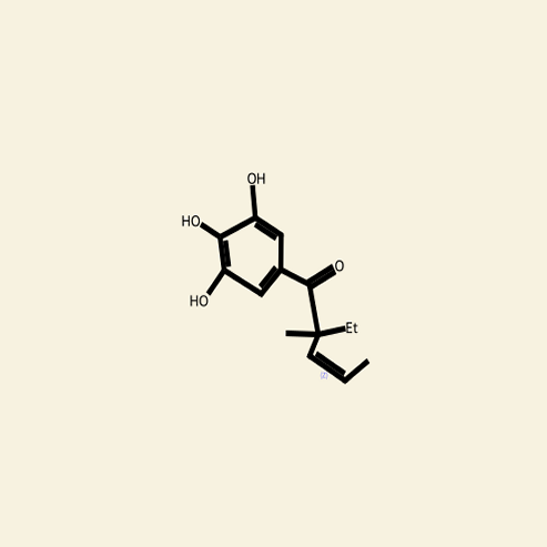 C/C=C\C(C)(CC)C(=O)c1cc(O)c(O)c(O)c1